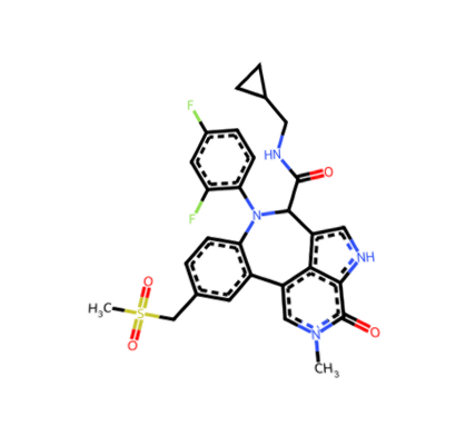 Cn1cc2c3c(c[nH]c3c1=O)C(C(=O)NCC1CC1)N(c1ccc(F)cc1F)c1ccc(CS(C)(=O)=O)cc1-2